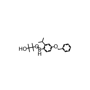 CC(C)c1cc(OCc2ccccc2)ccc1BOC(C)(C)C(C)(C)O